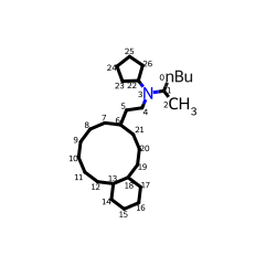 CCCCC(C)N(CCC1CCCCCCC2CCCCC2CCC1)C1CCCC1